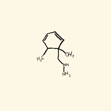 CC1C=CC=CC1(C)CNN